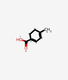 CC1=CC=C(C(=O)O)CC1